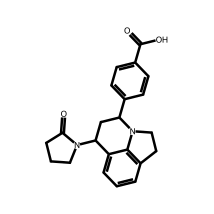 O=C(O)c1ccc(C2CC(N3CCCC3=O)c3cccc4c3N2CC4)cc1